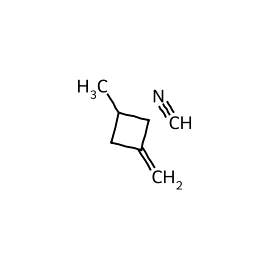 C#N.C=C1CC(C)C1